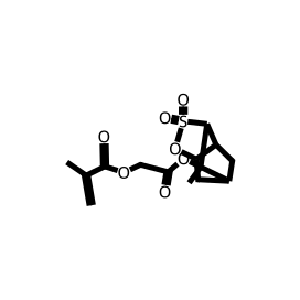 C=C(C)C(=O)OCC(=O)OC1(C)C2CC3OS(=O)(=O)C1C3C2